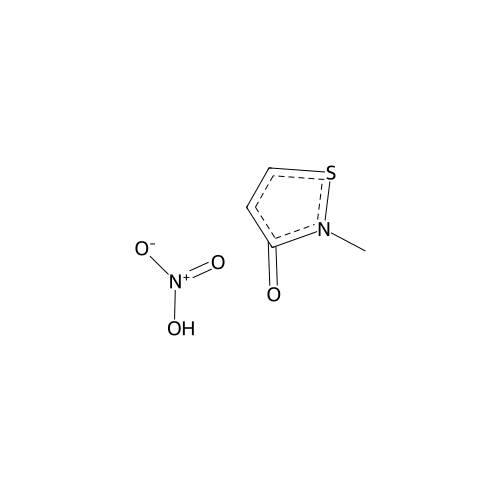 Cn1sccc1=O.O=[N+]([O-])O